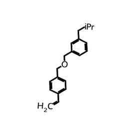 C=Cc1ccc(COCc2cccc(CC(C)C)c2)cc1